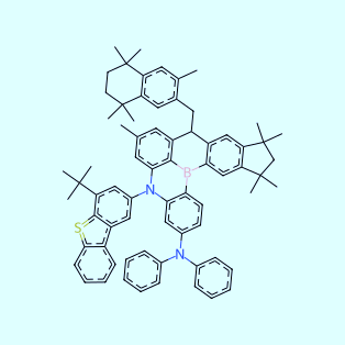 Cc1cc2c3c(c1)N(c1cc(C(C)(C)C)c4sc5ccccc5c4c1)c1cc(N(c4ccccc4)c4ccccc4)ccc1B3c1cc3c(cc1C2Cc1cc2c(cc1C)C(C)(C)CCC2(C)C)C(C)(C)CC3(C)C